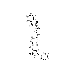 c1ccc(C2CN/C(=N/c3ccc(CCNc4nc5ccccc5s4)cc3)S2)cc1